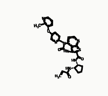 C=CC(=O)N[C@H]1CCC[C@H]1NC(=O)c1sc2nccc3c2c1NC(=O)N3c1ccc(Oc2cccnc2C)cn1